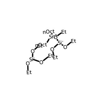 CCCCCCC[CH2][Sn+2][CH2]CCCCCCC.CCO[Si-](OCC)OCC.CCO[Si-](OCC)OCC